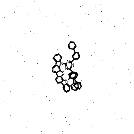 c1ccc(-c2ccc(-c3nc(-c4cccc(-c5ccccc5)c4)nc(-n4c5ccccc5c5ccc6c7ccc8c9ccccc9n(-c9ccccc9-c9ccccc9)c8c7sc6c54)n3)cc2)cc1